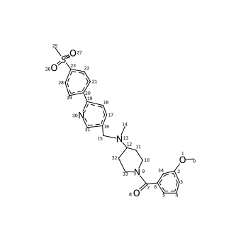 COc1cccc(C(=O)N2CCC(N(C)Cc3ccc(-c4ccc(S(C)(=O)=O)cc4)nc3)CC2)c1